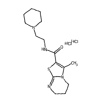 CC1=C(C(=O)NCCN2CCCCC2)SC2=NCCCN21.Cl.Cl